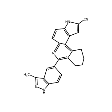 Cc1n[nH]c2ccc(-c3nc4ccc5[nH]c(C#N)cc5c4c4c3CCCC4)cc12